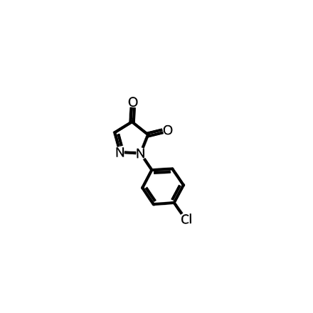 O=C1C=NN(c2ccc(Cl)cc2)C1=O